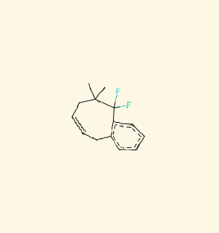 CC1(C)C/C=C\Cc2ccccc2C1(F)F